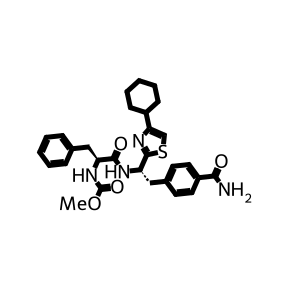 COC(=O)N[C@@H](Cc1ccccc1)C(=O)N[C@@H](Cc1ccc(C(N)=O)cc1)c1nc(C2CCCCC2)cs1